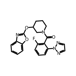 O=C(c1c(F)cccc1-n1nccn1)N1CCCC(Oc2nc3ccccc3o2)C1